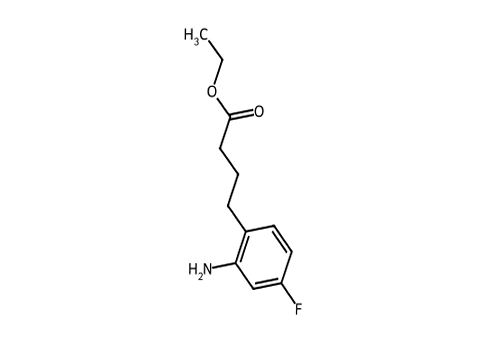 CCOC(=O)CCCc1ccc(F)cc1N